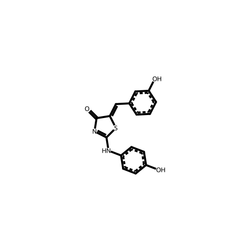 O=C1N=C(Nc2ccc(O)cc2)SC1=Cc1cccc(O)c1